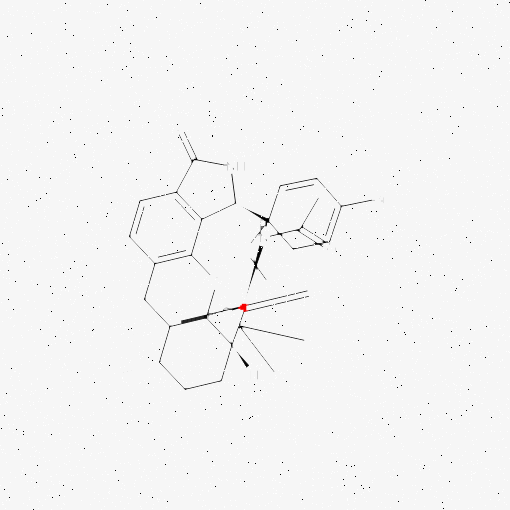 COC1([C@@H]2NC(=O)c3ccc4c(c32)O[C@@]23C[C@@H](NC(C)=O)C(=O)C(C)(C)[C@@H]2CC[C@H](C)[C@@]3(C)C4)C=CC(Br)=CC1